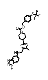 Cc1nc(C2CCN(C(=O)OCc3ccc(SC(F)(F)F)cc3)CC2)sc1CNc1ccc2[nH]nnc2c1